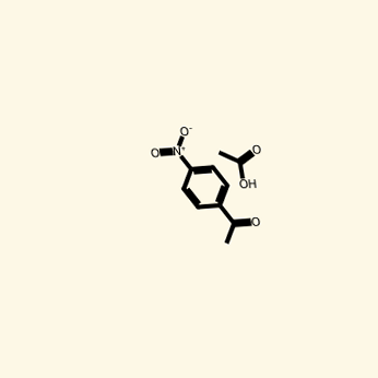 CC(=O)O.CC(=O)c1ccc([N+](=O)[O-])cc1